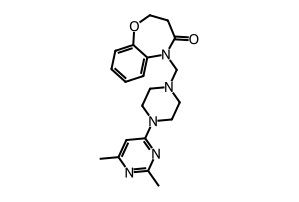 Cc1cc(N2CCN(CN3C(=O)CCOc4ccccc43)CC2)nc(C)n1